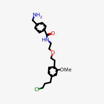 COc1cc(CCCCl)ccc1CCOCCNC(=O)c1ccc(CN)cc1